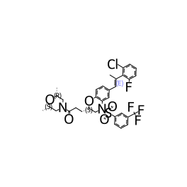 C/C(=C\c1ccc2c(c1)N(S(=O)(=O)c1cccc(C(F)(F)F)c1)C[C@H](CCC(=O)N1C[C@@H](C)O[C@@H](C)C1)O2)c1c(F)cccc1Cl